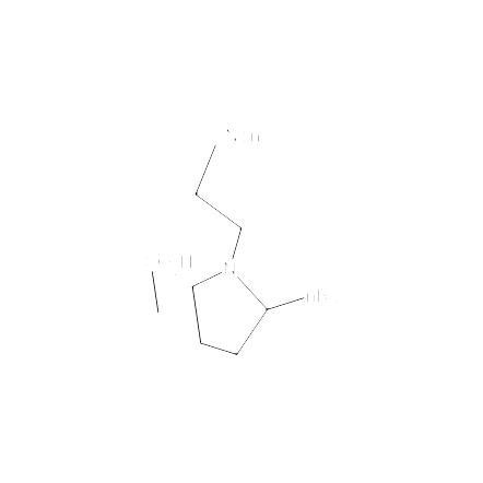 CC(=O)O.CCCCCCCCCCCN1CCCC1CCCC